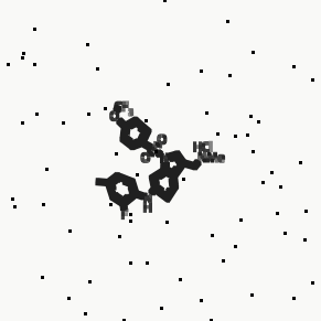 CNCc1cn(S(=O)(=O)c2ccc(OC(F)(F)F)cc2)c2cc(Nc3ccc(C)cc3F)ccc12.Cl